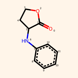 O=C1OCCC1Nc1ccccc1